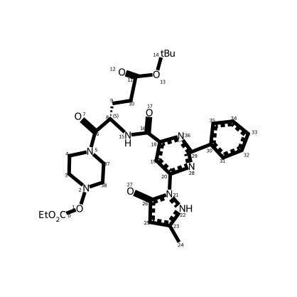 CCOC(=O)ON1CCN(C(=O)[C@H](CCC(=O)OC(C)(C)C)NC(=O)c2cc(-n3[nH]c(C)cc3=O)nc(-c3ccccc3)n2)CC1